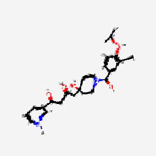 Cc1cc(C(=O)N2CCC(O)(CC(=O)CC(=O)c3cccnc3)CC2)ccc1OC(C)C